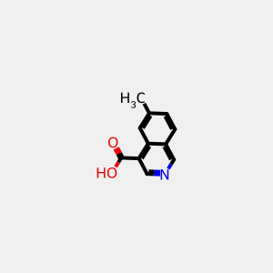 Cc1ccc2cncc(C(=O)O)c2c1